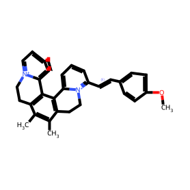 COc1ccc(/C=C/c2cccc3[n+]2CCc2c(C)c(C)c4c(c2-3)-c2c3ccccc3cc[n+]2CC4)cc1